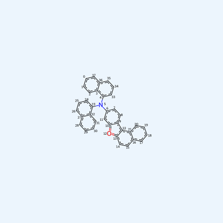 c1ccc2c(N(c3ccc4c(c3)oc3ccc5ccccc5c34)c3cccc4ccccc34)cccc2c1